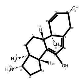 C[C@]12CC[C@H]3C(=C(O)C=C4C[C@@H](O)C=C[C@@]43C)[C@@H]1CC[C@@H]2N